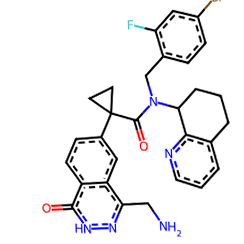 NCc1n[nH]c(=O)c2ccc(C3(C(=O)N(Cc4ccc(Br)cc4F)C4CCCc5cccnc54)CC3)cc12